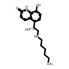 [CH2]C(=O)OCCCCCNC[C@H](O)c1ccc(O)c2[nH]c(=O)ccc12